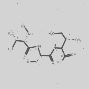 CC[C@H](C)C(NC(=O)[C@H](CO)NC(=O)[C@@H](NS)[C@@H](C)O)C(C)=O